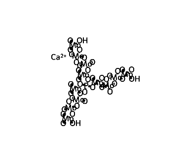 O=P([O][Mo](=[O])(=[O])[O][Mo](=[O])(=[O])[O][Mo](=[O])(=[O])[O][Mo](=[O])(=[O])[OH])([O][Mo](=[O])(=[O])[O][Mo](=[O])(=[O])[O][Mo](=[O])(=[O])[O][Mo](=[O])(=[O])[OH])[O][Mo](=[O])(=[O])[O][Mo](=[O])(=[O])[O][Mo](=[O])(=[O])[O][Mo](=[O])(=[O])[OH].[Ca+2]